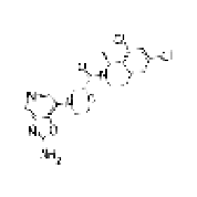 C[C@H]1c2c(Cl)cc(Cl)cc2CCN1C(=O)[C@H]1CN(c2cncc3nc(N)oc23)CCO1